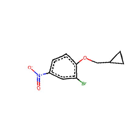 O=[N+]([O-])c1ccc(OCC2CC2)c(Br)c1